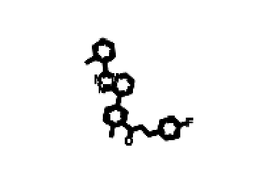 Cc1ccc(-c2cccn3c(-c4ccccc4C)nnc23)cc1C(=O)CCc1ccc(F)cc1